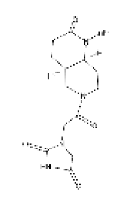 CCCN1C(=O)CC[C@@H]2CN(C(=O)CN3CC(=O)NC3=O)CC[C@@H]21